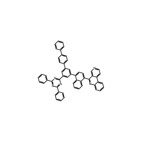 c1ccc(-c2ccc(-c3cc(-c4nc(-c5ccccc5)nc(-c5ccccc5)n4)cc(-c4ccc(-c5nc6ccccc6c6ccncc56)c5ccccc45)c3)cc2)cc1